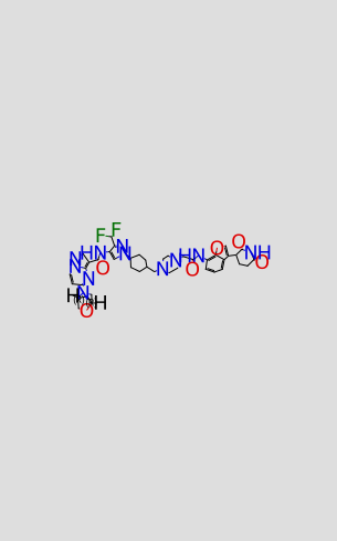 O=C1CCC(c2coc3c(NC(=O)CN4CCN(CC5CCC(n6cc(NC(=O)c7cnn8ccc(N9C[C@H]%10C[C@@H]9CO%10)nc78)c(C(F)F)n6)CC5)CC4)cccc23)C(=O)N1